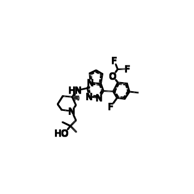 Cc1cc(F)c(-c2nnc(N[C@@H]3CCCN(CC(C)(C)O)C3)n3cccc23)c(OC(F)F)c1